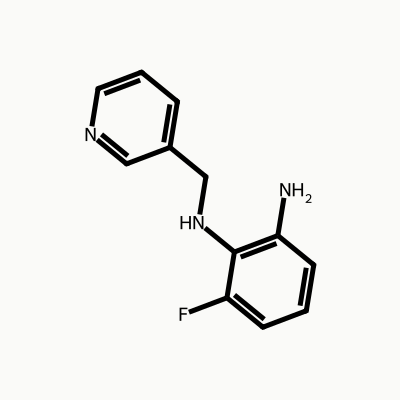 Nc1cccc(F)c1NCc1cccnc1